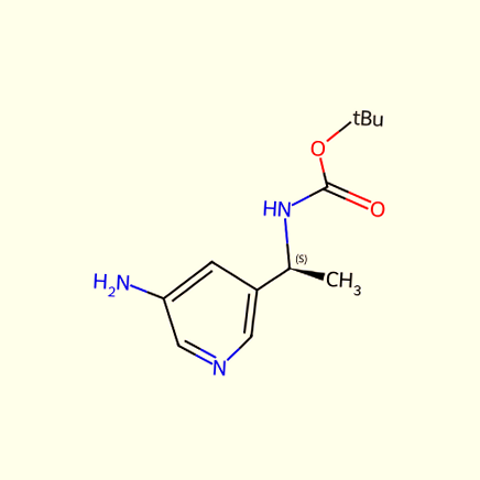 C[C@H](NC(=O)OC(C)(C)C)c1cncc(N)c1